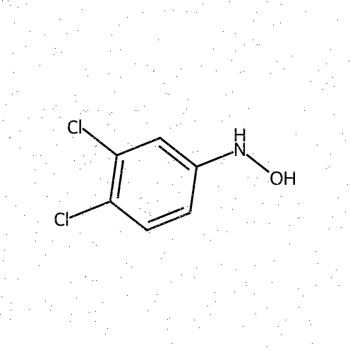 ONc1ccc(Cl)c(Cl)c1